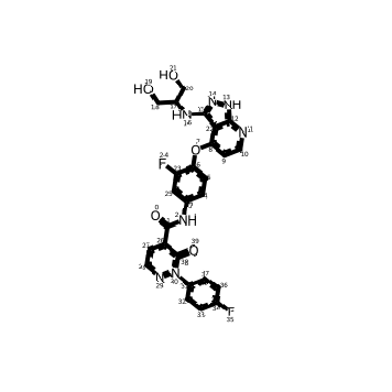 O=C(Nc1ccc(Oc2ccnc3[nH]nc(NC(CO)CO)c23)c(F)c1)c1ccnn(-c2ccc(F)cc2)c1=O